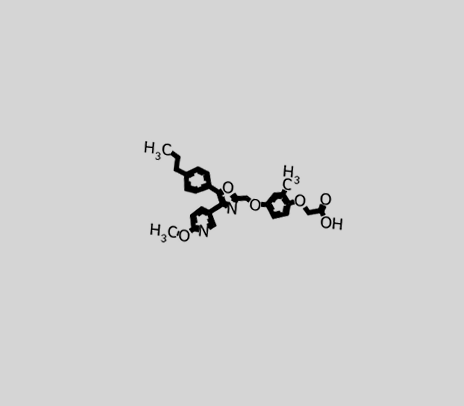 CCCc1ccc(-c2oc(COc3ccc(OCC(=O)O)c(C)c3)nc2-c2ccc(OC)nc2)cc1